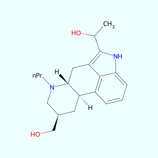 CCCN1C[C@H](CO)C[C@@H]2c3cccc4[nH]c(C(C)O)c(c34)C[C@H]21